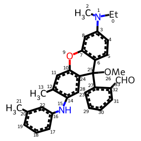 CCN(C)c1ccc2c(c1)Oc1cc(C)c(Nc3cccc(C)c3)cc1C2(OC)c1ccccc1C=O